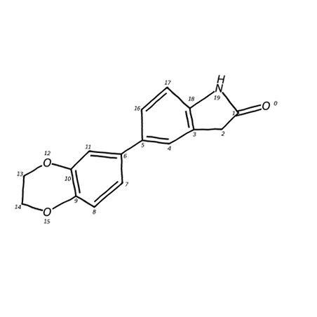 O=C1Cc2cc(-c3ccc4c(c3)OCCO4)ccc2N1